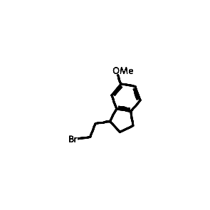 COc1ccc2c(c1)C(CCBr)CC2